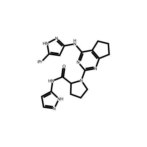 CC(C)c1cc(Nc2nc(N3CCCC3C(=O)Nc3ccn[nH]3)nc3c2CCC3)n[nH]1